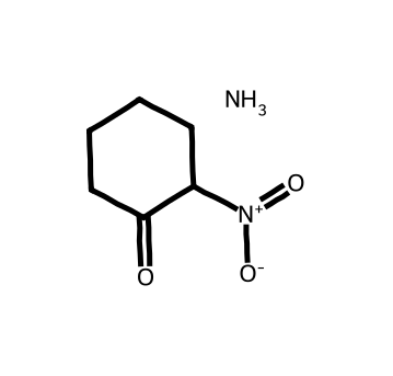 N.O=C1CCCCC1[N+](=O)[O-]